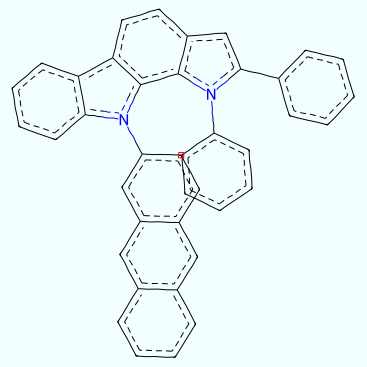 c1ccc(-c2cc3ccc4c5ccccc5n(-c5ccc6cc7ccccc7cc6c5)c4c3n2-c2ccccc2)cc1